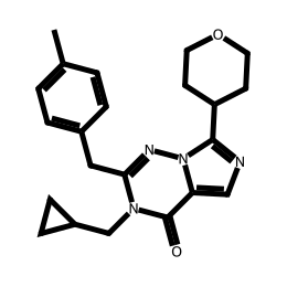 Cc1ccc(Cc2nn3c(C4CCOCC4)ncc3c(=O)n2CC2CC2)cc1